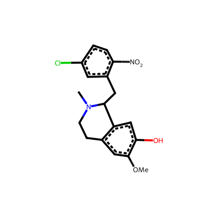 COc1cc2c(cc1O)C(Cc1cc(Cl)ccc1[N+](=O)[O-])N(C)CC2